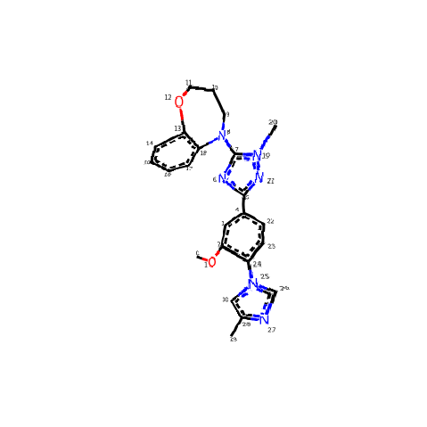 COc1cc(-c2nc(N3CCCOc4ccccc43)n(C)n2)ccc1-n1cnc(C)c1